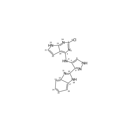 Clc1nc(Nc2c[nH]nc2-c2nc3ccccc3[nH]2)c2cc[nH]c2n1